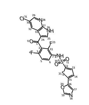 O=C(c1c(F)ccc(NS(=O)(=O)c2ccc(-c3cnco3)s2)c1F)c1c[nH]c2ncc(Cl)cc12